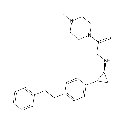 CN1CCN(C(=O)CN[C@H]2CC2c2ccc(CCc3ccccc3)cc2)CC1